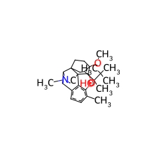 COC12CCC3(CC1C(C)(O)C(C)(C)C)C1Cc4ccc(C)c5c4C3(CCN1C)C2O5